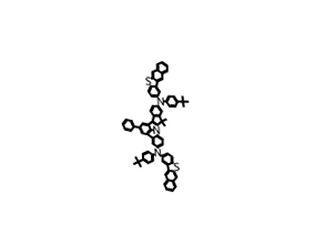 CC(C)(C)c1ccc(N(c2ccc3c(c2)C(C)(C)c2c-3c3cc(-c4ccccc4)cc4c5cc(N(c6ccc(C(C)(C)C)cc6)c6ccc7sc8cc9ccccc9cc8c7c6)ccc5n2c34)c2ccc3sc4cc5ccccc5cc4c3c2)cc1